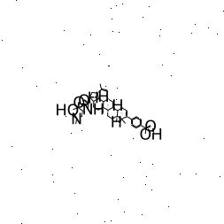 C=C(C)[C@@H]1CC[C@]2(C(=O)N[C@@H](CN(C)C)C(=O)O)CC[C@]3(C)[C@H](CC[C@@H]4[C@@]5(C)CC=C(c6ccc(C(=O)O)cc6)C(C)(C)[C@@H]5CC[C@]43C)[C@@H]12